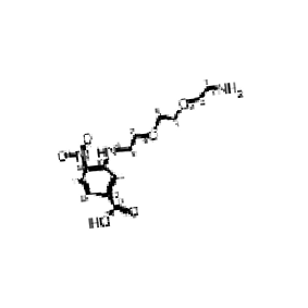 NCCOCCOCCNc1cc(C(=O)O)ccc1[N+](=O)[O-]